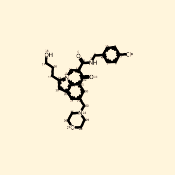 O=C(NCc1ccc(Cl)cc1)c1cn2c(CCCO)cc3cc(CN4CCOCC4)cc(c1=O)c32